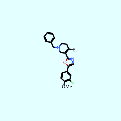 CCC1=C(c2ncc(-c3ccc(OC)c(F)c3)o2)CN(Cc2ccccc2)CC1